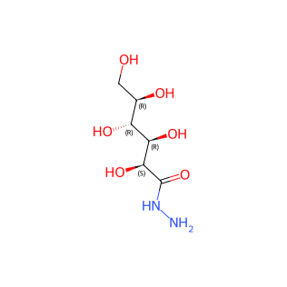 NNC(=O)[C@@H](O)[C@H](O)[C@H](O)[C@H](O)CO